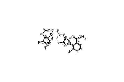 Cc1nn(-c2c(F)cccc2C(N)=O)cc1CN1CCC2(CC1)OCCc1c2sc(F)c1F